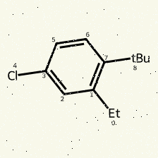 CCc1cc(Cl)ccc1C(C)(C)C